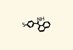 CSc1ccc(C(=N)c2cccc3ccccc23)cc1